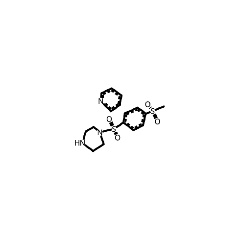 CS(=O)(=O)c1ccc(S(=O)(=O)N2CCNCC2)cc1.c1ccncc1